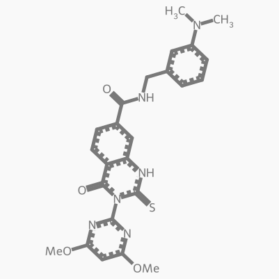 COc1cc(OC)nc(-n2c(=S)[nH]c3cc(C(=O)NCc4cccc(N(C)C)c4)ccc3c2=O)n1